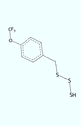 FC(F)(F)Oc1ccc(CSSS)cc1